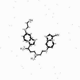 CC(C)c1cnc2cc(OCCN(C)CCC(C)c3cnc4cc(OCCO)ccn34)ccn12